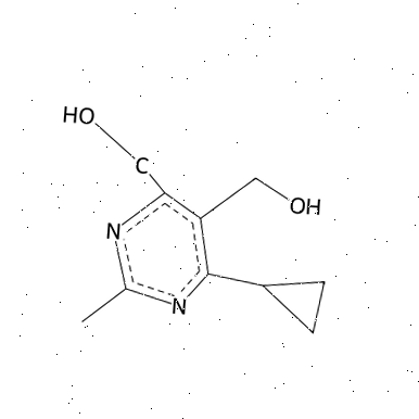 Cc1nc(CO)c(CO)c(C2CC2)n1